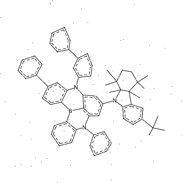 CC(C)(C)c1ccc2c(c1)C1(C)C(C)(C)CCC(C)(C)C1(C)N2c1cc2c3c(c1)N(c1cccc(-c4ccccc4)c1)c1cc(-c4ccccc4)ccc1B3c1ccccc1N2c1ccccc1